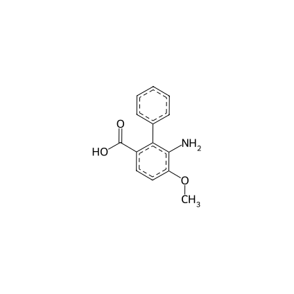 COc1ccc(C(=O)O)c(-c2ccccc2)c1N